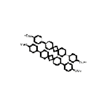 CCCCCCCCCCC1CCC([C@H]2CCC3(CC2)CC2(CC[C@H]([C@H]4CC[C@H](CCCCCCCCCC)CC4)CC2)C3)CC1.COC1CCC(C2CCC3(CC2)CC2(CCC(C4CCC(OC)CC4)CC2)C3)CC1